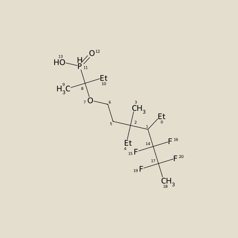 CCC(C(C)(CC)CCOC(C)(CC)[PH](=O)O)C(F)(F)C(C)(F)F